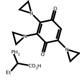 CCC(P)C(=O)O.O=C1C=C(N2CC2)C(=O)C(N2CC2)=C1N1CC1